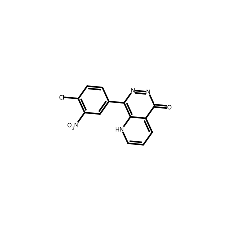 O=c1nnc(-c2ccc(Cl)c([N+](=O)[O-])c2)c2[nH]cccc1-2